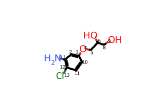 Nc1cc(OCC(O)CO)ccc1Cl